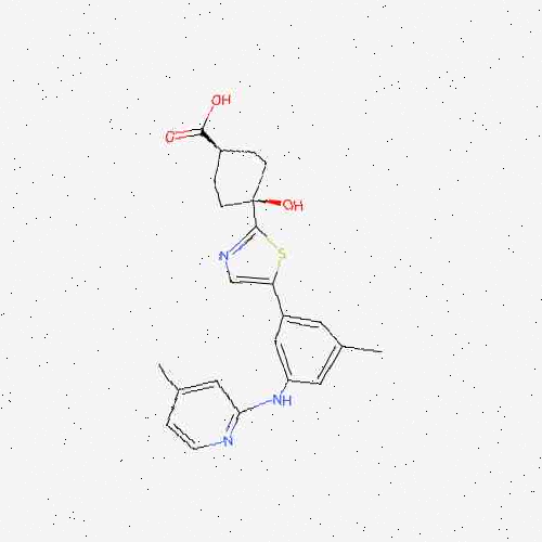 Cc1cc(Nc2cc(C)ccn2)cc(-c2cnc([C@]3(O)CC[C@@H](C(=O)O)CC3)s2)c1